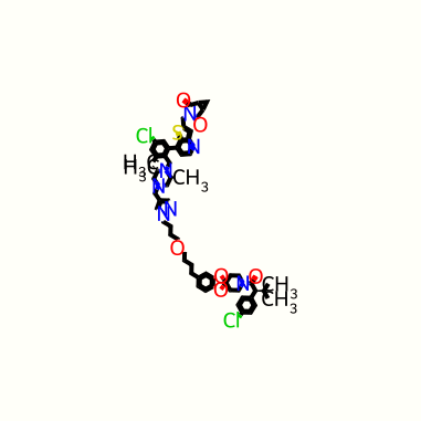 Cc1cc(Cl)cc(-c2ccnc3cc(CN4C(=O)C5CC5C4=O)sc23)c1CN1[C@@H](C)CN(Cc2cnn(CCCCOCCCCc3ccc4c(c3)OC3(CCN(C(=O)[C@H](c5ccc(Cl)cc5)C(C)C)CC3)O4)c2)C[C@@H]1C